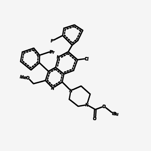 COCc1nc(N2CCN(C(=O)OC(C)(C)C)CC2)c2cc(Cl)c(-c3ccccc3F)nc2c1-c1ccccc1C(C)C